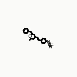 CC(=O)CC(/C=C/c1ccc(N=[N+]=[N-])cc1)C/C=C/c1ccccc1